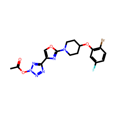 CC(=O)On1nnc(-c2coc(N3CCC(Oc4cc(F)ccc4Br)CC3)n2)n1